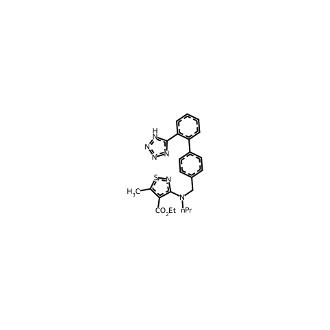 CCCN(Cc1ccc(-c2ccccc2-c2nnn[nH]2)cc1)c1nsc(C)c1C(=O)OCC